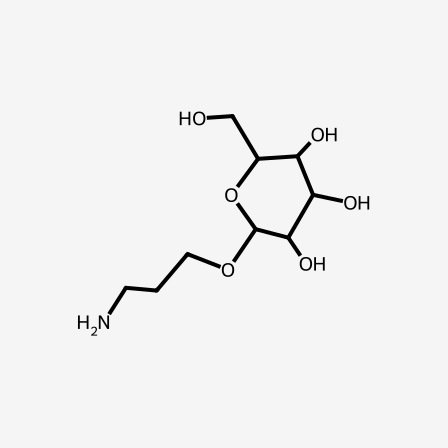 NCCCOC1OC(CO)C(O)C(O)C1O